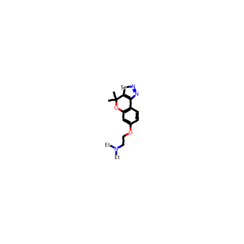 CCN(CC)CCOc1ccc2c(c1)OC(C)(C)c1[se]nnc1-2